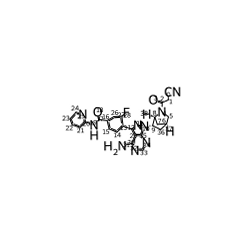 N#CCC(=O)N1C[C@@H]2C[C@@H]1[C@@H](n1nc(-c3ccc(C(=O)Nc4ccccn4)cc3F)c3c(N)ncnc31)C2